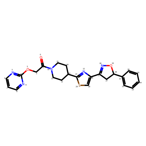 O=C(COc1ncccn1)N1CCC(c2nc(C3=NOC(c4ccccc4)C3)cs2)CC1